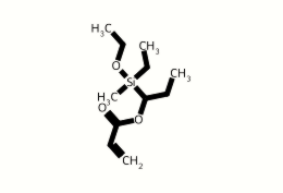 C=CC(=O)OC(CC)[Si](C)(CC)OCC